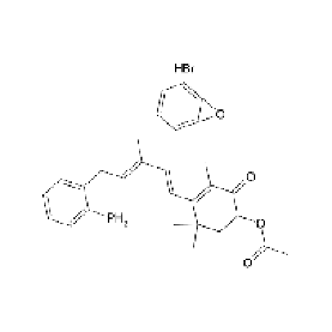 Br.CC(=O)OC1CC(C)(C)C(C=CC(C)=CCc2ccccc2P)=C(C)C1=O.c1ccc2c(c1)O2